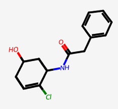 O=C(Cc1ccccc1)NC1CC(O)CC=C1Cl